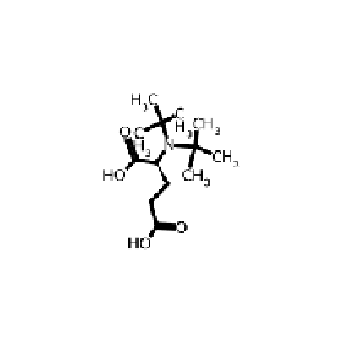 CC(C)(C)N([C@@H](CCC(=O)O)C(=O)O)C(C)(C)C